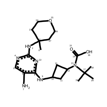 CC1(Nc2ncc(N)c(NC3CC(N(C(=O)O)C(C)(C)C)C3)n2)CCOCC1